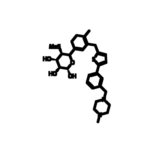 CS[C@H]1C(C2=CC(Cc3ccc(-c4cccc(CN5CCN(C)CC5)c4)s3)=C(C)CC2)O[C@H](O)[C@@H](O)[C@@H]1O